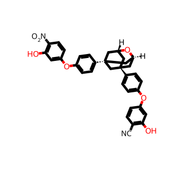 N#Cc1ccc(Oc2ccc([C@@]34C[C@@H]5C[C@@](c6ccc(Oc7ccc([N+](=O)[O-])c(O)c7)cc6)(C[C@H](C3)O5)C4)cc2)cc1O